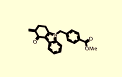 C=C1CCc2c(c3ccccc3n2Cc2ccc(C(=O)OC)cc2)C1=O